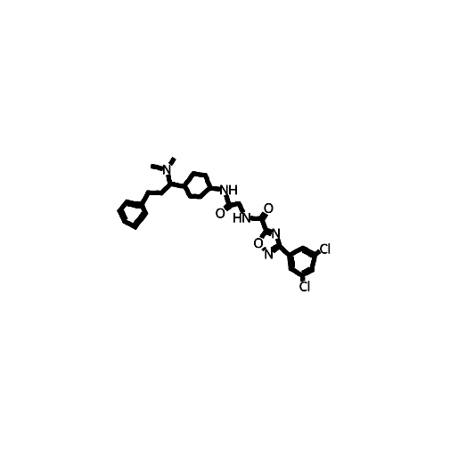 CN(C)C(CCc1ccccc1)C1CCC(NC(=O)CNC(=O)c2nc(-c3cc(Cl)cc(Cl)c3)no2)CC1